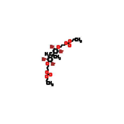 C=CCOC(=O)OCCCOc1c(Br)cc(C(C)(C)c2cc(Br)c(OCCCOC(=O)OCC=C)c(Br)c2)cc1Br